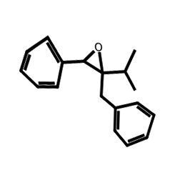 CC(C)C1(Cc2ccccc2)OC1c1ccccc1